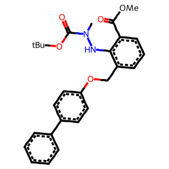 COC(=O)c1cccc(COc2ccc(-c3ccccc3)cc2)c1NN(C)C(=O)OC(C)(C)C